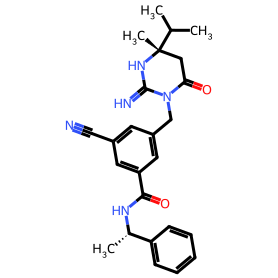 CC(C)[C@]1(C)CC(=O)N(Cc2cc(C#N)cc(C(=O)N[C@@H](C)c3ccccc3)c2)C(=N)N1